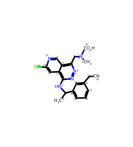 CC(Nc1nnc(CN(C)C(=O)O)c2cnc(Cl)cc12)c1cccc(CC#N)c1